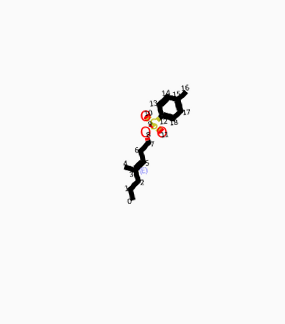 CCC/C(C)=C/CCOS(=O)(=O)c1ccc(C)cc1